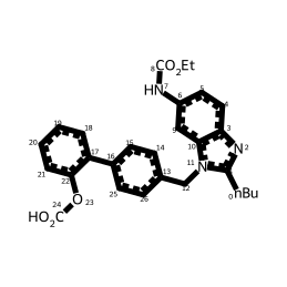 CCCCc1nc2ccc(NC(=O)OCC)cc2n1Cc1ccc(-c2ccccc2OC(=O)O)cc1